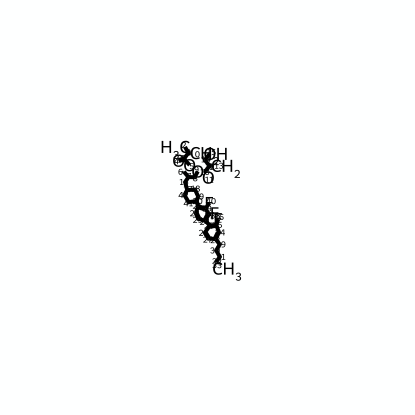 C=C(C)C(=O)OCC(COC(=O)C(=C)CO)CC1CCC(c2ccc(-c3ccc(CCCCC)cc3F)c(F)c2F)CC1